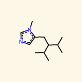 CC(C)C(Cc1cncn1C)C(C)C